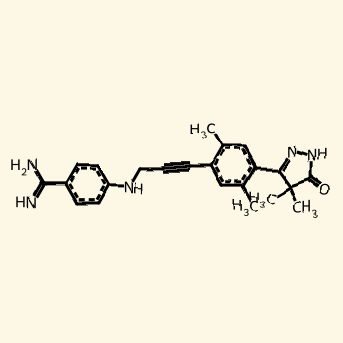 Cc1cc(C2=NNC(=O)C2(C)C)c(C)cc1C#CCNc1ccc(C(=N)N)cc1